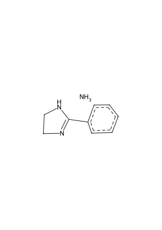 N.c1ccc(C2=NCCN2)cc1